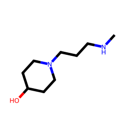 CNCCCN1CCC(O)CC1